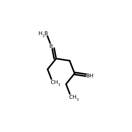 B=C(CC)C/C(=B/B)CC